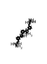 CN1CC(c2cccc(CCNC(=N)N)c2)SC1c1cccc(C2NCC(c3cccc(CCNC(=N)N)c3)S2)c1